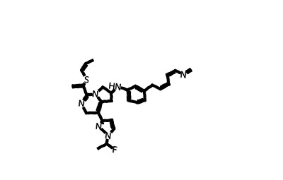 C=N/C=C\C=C/Cc1cccc(NC2CC3=C(c4ccn(C(C)F)n4)CN=C(C(=C)S/C=C\C)N3C2)c1